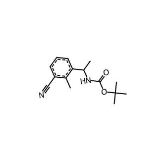 Cc1c(C#N)cccc1C(C)NC(=O)OC(C)(C)C